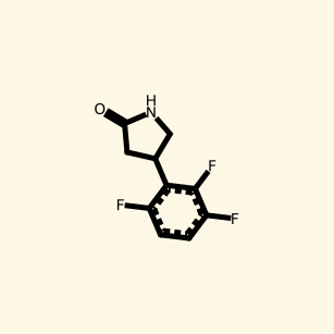 O=C1CC(c2c(F)ccc(F)c2F)CN1